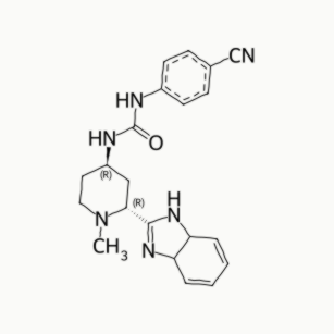 CN1CC[C@@H](NC(=O)Nc2ccc(C#N)cc2)C[C@@H]1C1=NC2C=CC=CC2N1